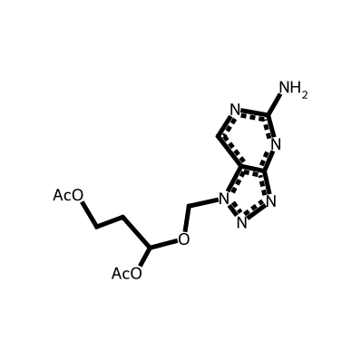 CC(=O)OCCC(OCn1nnc2nc(N)ncc21)OC(C)=O